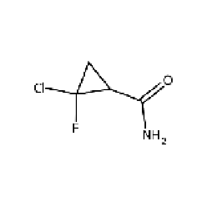 NC(=O)C1CC1(F)Cl